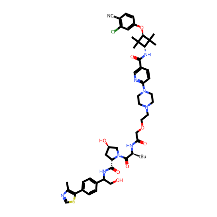 Cc1ncsc1-c1ccc(C(CO)NC(=O)[C@@H]2C[C@@H](O)CN2C(=O)[C@@H](NC(=O)COCCN2CCN(c3ccc(C(=O)N[C@H]4C(C)(C)[C@H](Oc5ccc(C#N)c(Cl)c5)C4(C)C)cn3)CC2)C(C)(C)C)cc1